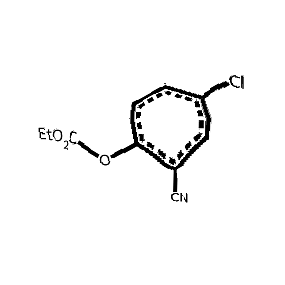 CCOC(=O)Oc1c[c]c(Cl)cc1C#N